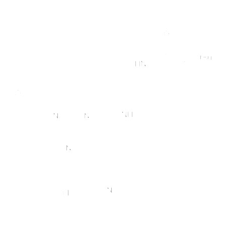 CC(C)(C)OC(=O)NCCNc1nc(N2CCOCC2)nc2c(Cl)nccc12